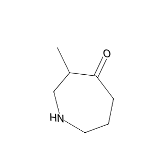 CC1CNCCCC1=O